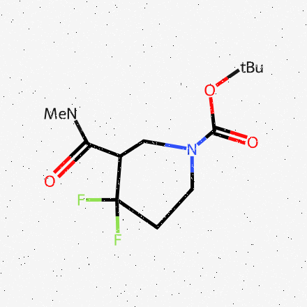 CNC(=O)C1CN(C(=O)OC(C)(C)C)CCC1(F)F